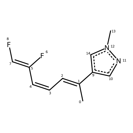 C\C(=C/C=C\C(F)=C\F)c1cnn(C)c1